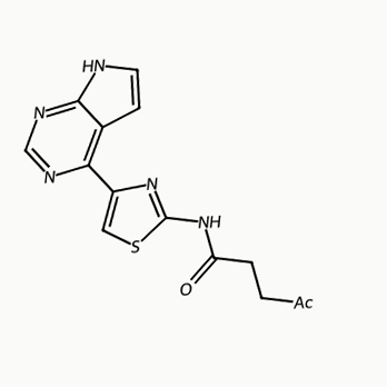 CC(=O)CCC(=O)Nc1nc(-c2ncnc3[nH]ccc23)cs1